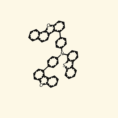 c1ccc2c(c1)ccc1c2oc2cccc(-c3ccc(N(c4ccc(-c5cccc6oc7ccccc7c56)cc4)c4cccc5c4sc4ccccc45)cc3)c21